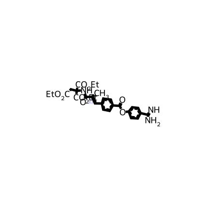 CCOC(=O)CC(NC(=O)/C(C)=C/c1ccc(C(=O)Oc2ccc(C(=N)N)cc2)cc1)(C(=O)OCC)C(=O)OCC